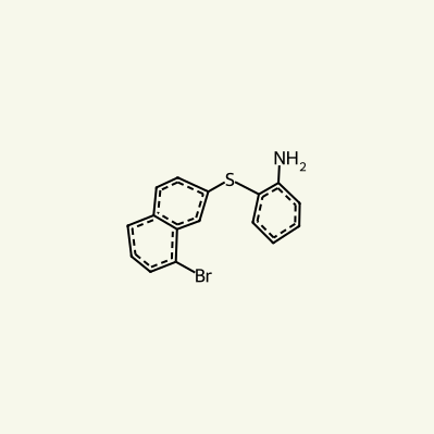 Nc1ccccc1Sc1ccc2cccc(Br)c2c1